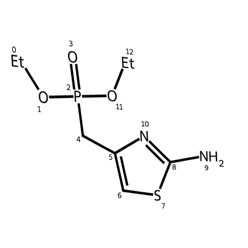 CCOP(=O)(Cc1csc(N)n1)OCC